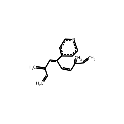 C=CC(=C)/C=C\C(=C/C(=C)C=C)c1ccncc1